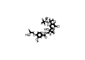 COc1cc(C(=O)NCC(O)(c2cc3c(c(Cl)n2)OCC3(C)N[S+]([O-])C(C)(C)C)C(F)(F)F)ccc1OCC(C)O